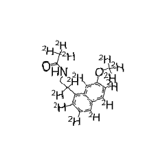 [2H]c1c([2H])c(C([2H])([2H])CNC(=O)C([2H])([2H])[2H])c2c([2H])c(OC([2H])([2H])[2H])c([2H])c([2H])c2c1[2H]